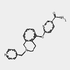 NC(=O)c1ccc(Oc2cccc3c2CCN(Cc2ccncc2)C3)nc1